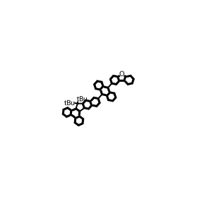 CC(C)(C)C1(C(C)(C)C)c2cc3cc(-c4c5ccccc5c(-c5ccc6oc7ccccc7c6c5)c5ccccc45)ccc3cc2-c2c1c1ccccc1c1ccccc21